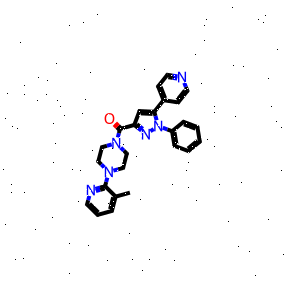 Cc1cccnc1N1CCN(C(=O)c2cc(-c3ccncc3)n(-c3ccccc3)n2)CC1